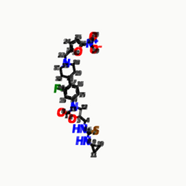 O=C1OC(CNC(=S)NC2CC2)CN1c1ccc(C2CCN(Cc3ccc([N+](=O)[O-])o3)CC2)c(F)c1